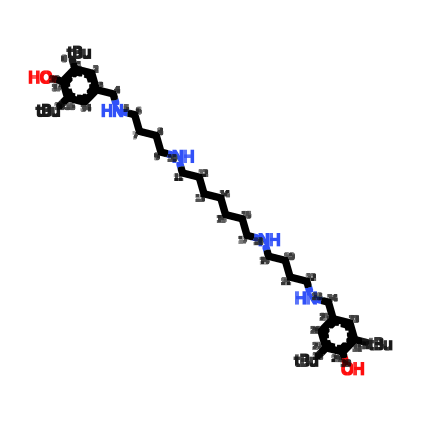 CC(C)(C)c1cc(CNCCCCNCCCCCCCNCCCCNCc2cc(C(C)(C)C)c(O)c(C(C)(C)C)c2)cc(C(C)(C)C)c1O